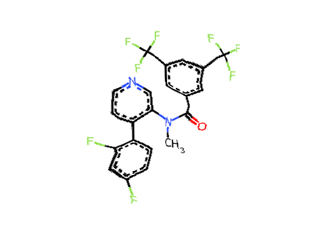 CN(C(=O)c1cc(C(F)(F)F)cc(C(F)(F)F)c1)c1cnccc1-c1ccc(F)cc1F